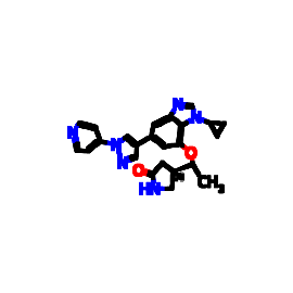 CC(Oc1cc(-c2cnn(-c3ccncc3)c2)cc2ncn(C3CC3)c12)[C@H]1CNC(=O)C1